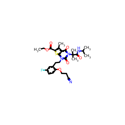 CCOC(=O)c1sc2c(c1C)c(=O)n(C(C)(C)C(=O)NC(C)C)c(=O)n2CCc1cc(F)ccc1OCCC#N